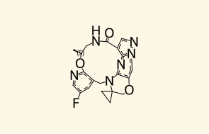 C[C@H]1CNC(=O)c2cnn3cc4c(nc23)N(Cc2cc(F)cnc2O1)C1(CC1)CO4